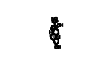 C[C@]12CC[C@H]3[C@@H](CCC4=C[C@@H](O)CC[C@@]43C)[C@@]1(O)CC[C@]2(O)c1cnoc1